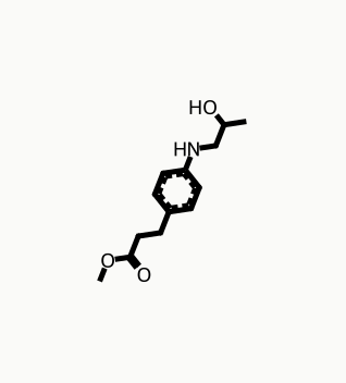 COC(=O)CCc1ccc(NCC(C)O)cc1